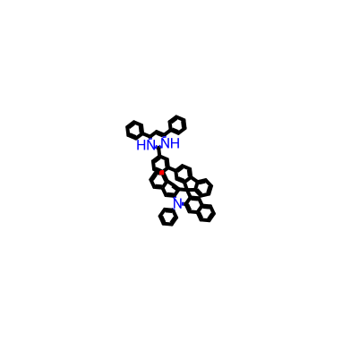 C1=C(c2ccccc2)NC(c2cccc(-c3ccc4c(c3)C3(c5ccccc5-4)c4cc5ccccc5cc4N(c4ccccc4)c4cc5ccccc5cc43)c2)NC1c1ccccc1